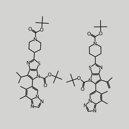 C=C(C)c1c(-c2cn3ncnc3c(C)c2C)n(C(=O)OC(C)(C)C)c2sc(C3CCN(C(=O)OC(C)(C)C)CC3)nc12.Cc1c(-c2c(C(C)C)c3nc(C4CCN(C(=O)OC(C)(C)C)CC4)sc3n2C(=O)OC(C)(C)C)cn2ncnc2c1C